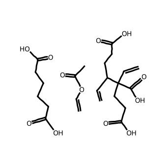 C=CC(CCC(=O)O)C(C=C)(CCC(=O)O)C(=O)O.C=COC(C)=O.O=C(O)CCCCC(=O)O